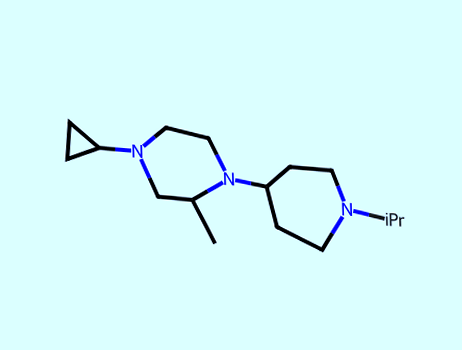 CC(C)N1CCC(N2CCN(C3CC3)CC2C)CC1